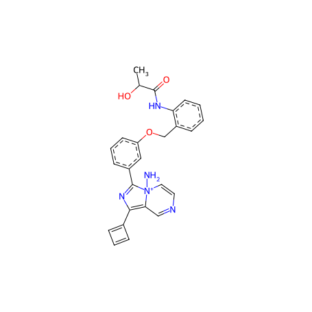 CC(O)C(=O)Nc1ccccc1COc1cccc(C2=NC(C3=CC=C3)=C3C=NC=C[N+]23N)c1